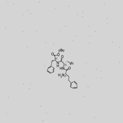 CCCCOC(=O)[C@H](Cc1ccccc1)NC(=O)[C@H](CC(C)C)NC(=O)[C@@H](N)CCc1ccccc1